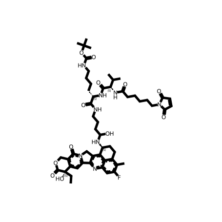 CC[C@@]1(O)C(=O)OCc2c1cc1n(c2=O)Cc2c-1nc1cc(F)c(C)c3c1c2[C@@H](NC(O)CCCNC(=O)[C@H](CCCCNC(=O)OC(C)(C)C)NC(=O)[C@@H](NC(=O)CCCCCN1C(=O)C=CC1=O)C(C)C)CC3